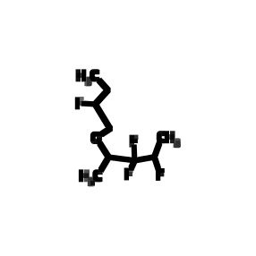 CCC(F)COC(C)C(F)(F)C(C)F